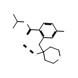 CC(C)OC(=O)c1ccc(Br)cc1CC1(N=C=O)CCOCC1